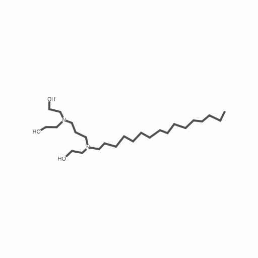 CCCCCCCCCCCCCCCCN(CCO)CCCN(CCO)CCO